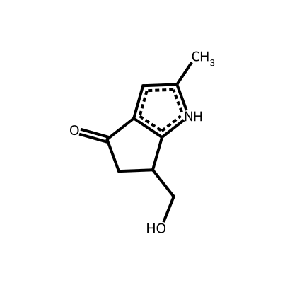 Cc1cc2c([nH]1)C(CO)CC2=O